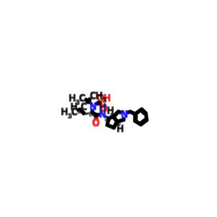 CCC[C@@H](C(=O)N[C@H]1CC[C@@H]2CN(Cc3ccccc3)C[C@@H]21)N(C(=O)O)C(C)(C)C